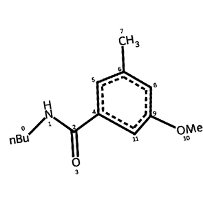 CCCCNC(=O)c1cc(C)cc(OC)c1